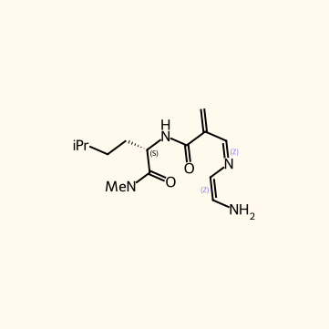 C=C(/C=N\C=C/N)C(=O)N[C@@H](CCC(C)C)C(=O)NC